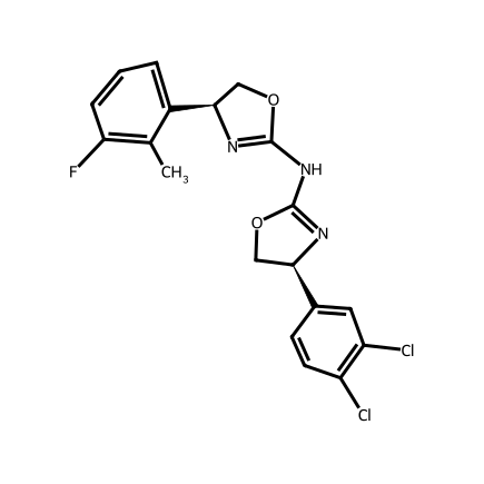 Cc1c(F)cccc1[C@H]1COC(NC2=N[C@@H](c3ccc(Cl)c(Cl)c3)CO2)=N1